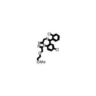 COCCOCc1nnc2n1-c1ccc(Cl)cc1C(c1ccccc1Cl)=NC2